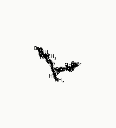 COc1cc2c(Nc3ccc(Br)cc3F)ncnc2cc1OCC1CCN(C(=O)OCCN(CCOC(=O)NCCN)CCOC(=O)N2CCC(COc3cc4ncnc(Nc5ccc(Br)cc5F)c4cc3CO)CC2)CC1